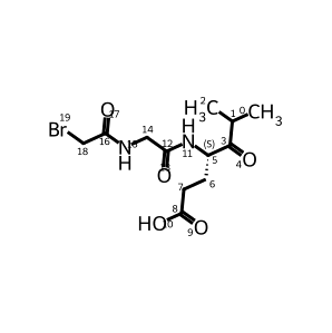 CC(C)C(=O)[C@H](CCC(=O)O)NC(=O)CNC(=O)CBr